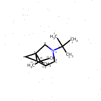 CC(C)(C)N1CCC2CC2(C(C)(C)C)C1